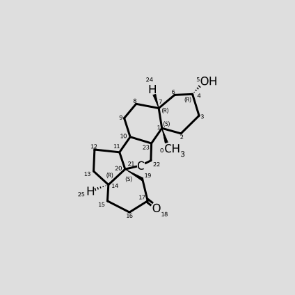 C[C@]12CC[C@@H](O)C[C@H]1CCC1C3CC[C@@H]4CCC(=O)C[C@]34CCC12